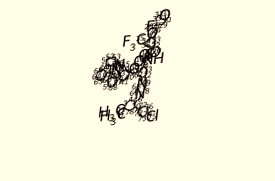 CC1(C)CCC(CN2CCN(c3ccc(C(=O)NS(=O)(=O)c4ccc(OCC5(F)CCOCC5)c(C(F)(F)F)c4)c(Oc4cccc5c4cnn5C(c4ccccc4)(c4ccccc4)c4ccccc4)c3)CC2)=C(c2ccc(Cl)cc2)C1